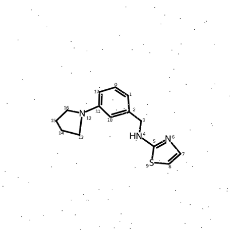 c1cc(CNc2nccs2)cc(N2CCCC2)c1